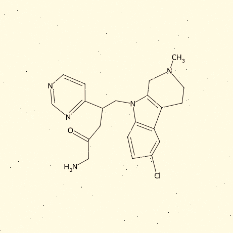 CN1CCc2c(n(CC(CC(=O)CN)c3ccncn3)c3ccc(Cl)cc23)C1